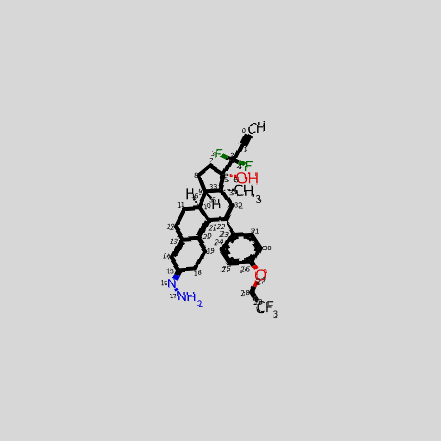 C#CC(F)(F)[C@]1(O)CC[C@H]2[C@@H]3CCC4=C/C(=N/N)CCC4=C3[C@H](c3ccc(OCC(F)(F)F)cc3)C[C@@]21C